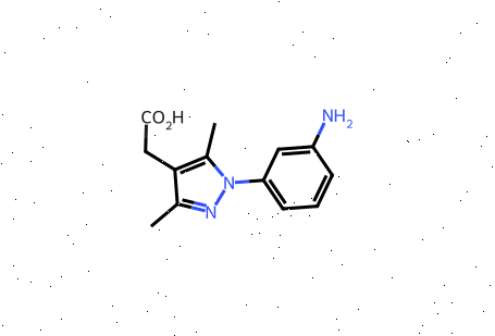 Cc1nn(-c2cccc(N)c2)c(C)c1CC(=O)O